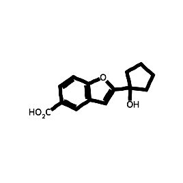 O=C(O)c1ccc2oc(C3(O)CCCC3)cc2c1